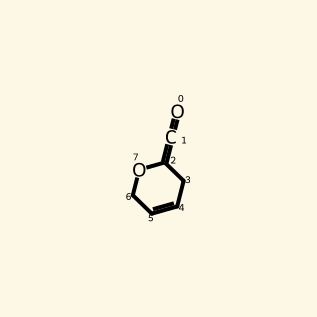 O=C=C1CC=CCO1